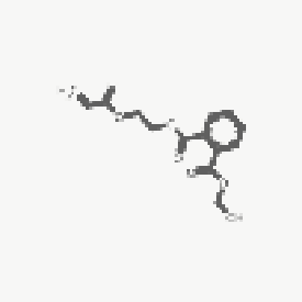 C=CC(=O)OCCOC(=O)c1ccccc1C(=O)OCO